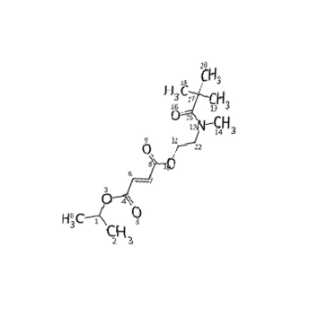 CC(C)OC(=O)/C=C/C(=O)OCCN(C)C(=O)C(C)(C)C